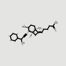 C[C@@]12CC[C@H](O)[C@@H](C#CC(O)C3CCCCC3)[C@@H]1C/C2=C/CCCC(=O)O